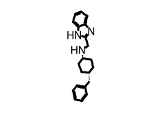 c1ccc(C[C@H]2CC[C@@H](NCc3nc4ccccc4[nH]3)CC2)cc1